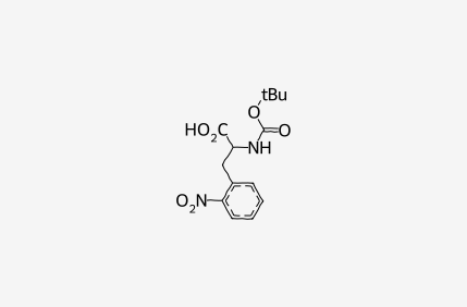 CC(C)(C)OC(=O)NC(Cc1ccccc1[N+](=O)[O-])C(=O)O